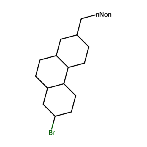 CCCCCCCCCCC1CCC2C(CCC3CC(Br)CCC32)C1